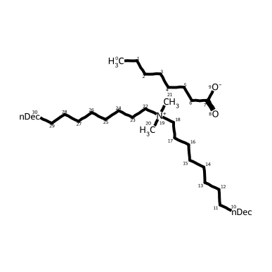 CCCCCCCC(=O)[O-].CCCCCCCCCCCCCCCCCC[N+](C)(C)CCCCCCCCCCCCCCCCCC